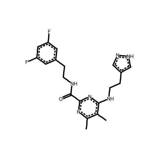 Cc1nc(C(=O)NCCc2cc(F)cc(F)c2)nc(NCCc2cn[nH]c2)c1C